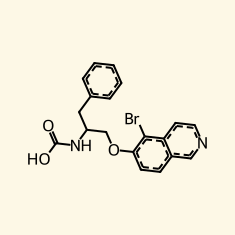 O=C(O)NC(COc1ccc2cnccc2c1Br)Cc1ccccc1